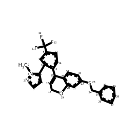 Cn1nccc1-c1cc(C(F)(F)F)ccc1C1=CCOc2cc(SCc3ccccc3)ccc21